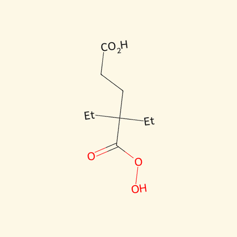 CCC(CC)(CCC(=O)O)C(=O)OO